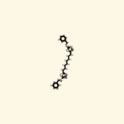 c1ccc(CSc2nnc(CCCCCCCCc3nnc(SCc4ccccc4)o3)o2)cc1